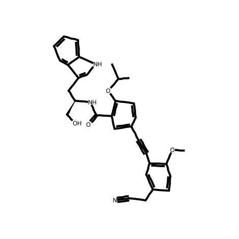 COc1ccc(CC#N)cc1C#Cc1ccc(OC(C)C)c(C(=O)N[C@@H](CO)Cc2c[nH]c3ccccc23)c1